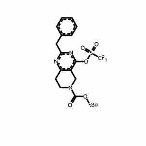 CC(C)(C)OC(=O)N1CCc2nc(Cc3ccccc3)nc(OS(=O)(=O)C(F)(F)F)c2C1